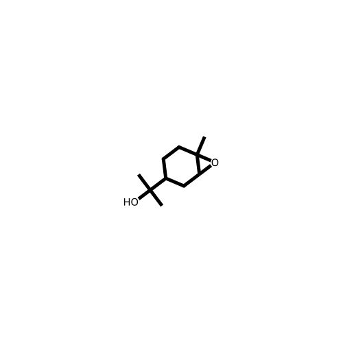 CC(C)(O)C1CCC2(C)OC2C1